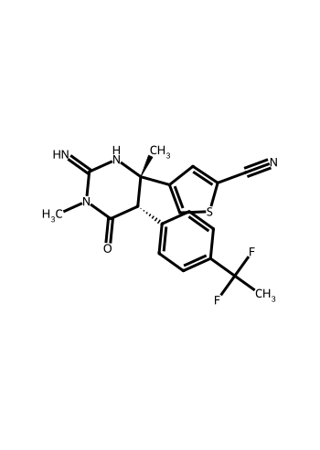 CN1C(=N)N[C@](C)(c2csc(C#N)c2)[C@H](c2ccc(C(C)(F)F)cc2)C1=O